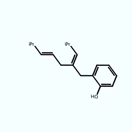 CC(C)C=CCC(=CC(C)C)Cc1ccccc1O